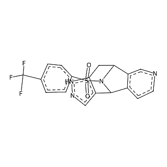 O=S(=O)(c1ccc(C(F)(F)F)cc1)N1C2Cc3[nH]ncc3C1c1ccncc12